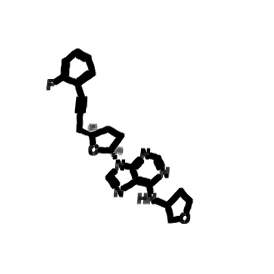 Fc1ccccc1C#CC[C@H]1CC[C@H](n2cnc3c(NC4CCOC4)ncnc32)O1